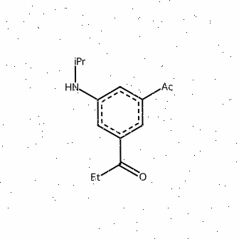 CCC(=O)c1cc(NC(C)C)cc(C(C)=O)c1